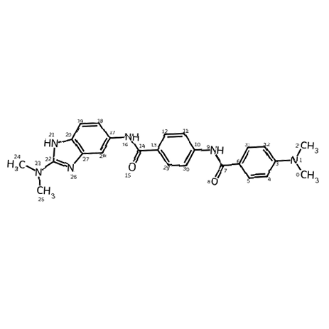 CN(C)c1ccc(C(=O)Nc2ccc(C(=O)Nc3ccc4[nH]c(N(C)C)nc4c3)cc2)cc1